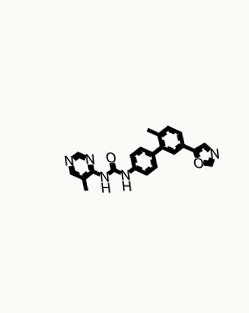 Cc1ccc(-c2cnco2)cc1-c1ccc(NC(=O)Nc2ncncc2C)cc1